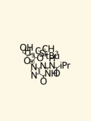 CC(C)C(=O)Nc1nc2c(ncn2[C@@H]2OC(CO)=CC2O[Si](C)(C)C(C)(C)C)c(=O)[nH]1